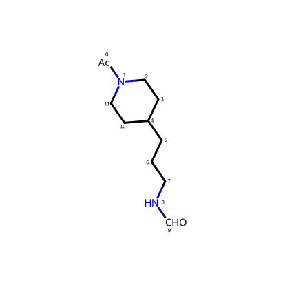 CC(=O)N1CCC(CCCNC=O)CC1